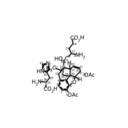 CC(=O)Oc1ccc2c3c1O[C@H]1[C@@H](OC(C)=O)C=C[C@H]4[C@@H](C2)N(C)CC[C@@]341.NC(CCC(=O)O)C(=O)O.N[C@@H](Cc1cnc[nH]1)C(=O)O